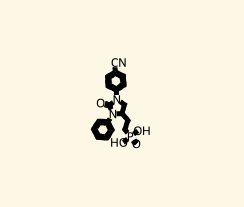 N#Cc1ccc(N2CC(CCP(=O)(O)O)N(c3ccccc3)C2=O)cc1